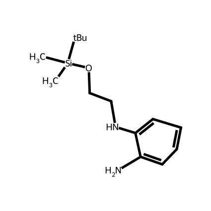 CC(C)(C)[Si](C)(C)OCCNc1ccccc1N